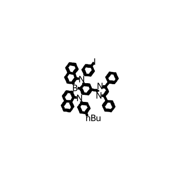 CCCCc1ccc(N2c3cc(-c4nc(-c5ccccc5)cc(-c5ccccc5)n4)cc4c3B(c3ccc5ccccc5c3N4c3ccc(I)cc3)c3ccc4ccccc4c32)cc1